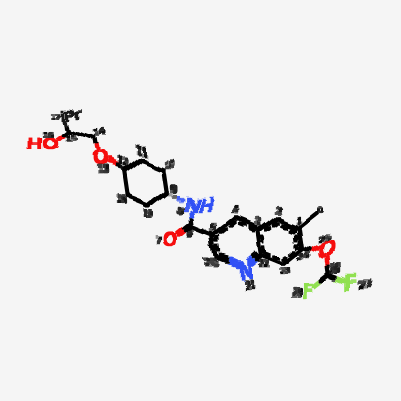 Cc1cc2cc(C(=O)N[C@H]3CC[C@H](OCC(O)C(C)C)CC3)cnc2cc1OC(F)F